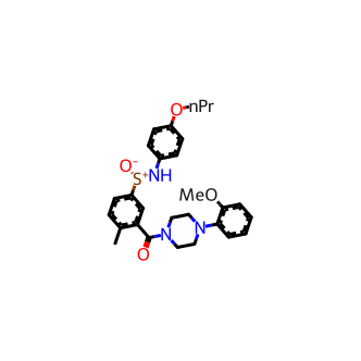 CCCOc1ccc(N[S+]([O-])c2ccc(C)c(C(=O)N3CCN(c4ccccc4OC)CC3)c2)cc1